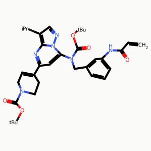 C=CC(=O)Nc1cccc(CN(C(=O)OC(C)(C)C)c2cc(C3=CCN(C(=O)OC(C)(C)C)CC3)nc3c(C(C)C)cnn23)c1